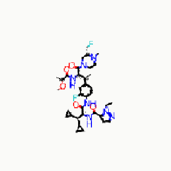 CCn1nccc1C(=O)N[C@H](C(=O)Nc1ccc([C@H](C)[C@@H](NC(=O)[C@H](C)OC)C(=O)N2CCN(C)[C@@H](CF)C2)cc1F)C(C1CC1)C1CC1